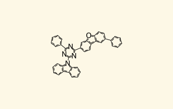 c1ccc(-c2ccc3oc4cc(-c5nc(-c6ccccc6)nc(-n6c7ccccc7c7ccccc76)n5)ccc4c3c2)cc1